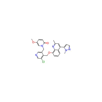 COc1ccc(=O)n(Cc2cncc(Cl)c2COc2cccc3c(-c4ccnn4C)cc(C)nc23)c1